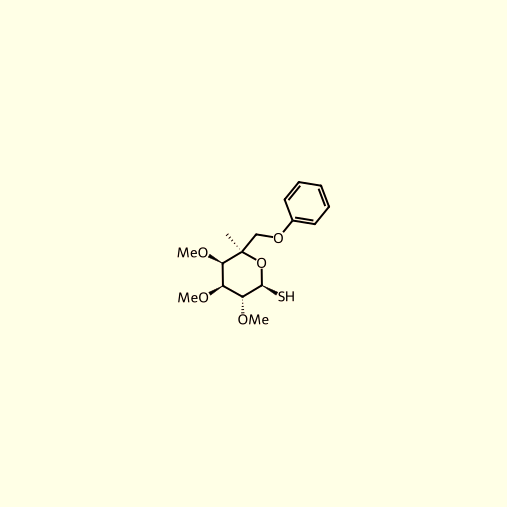 CO[C@@H]1[C@@H](OC)[C@@H](OC)[C@@](C)(COc2ccccc2)O[C@H]1S